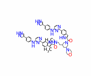 CCN(CCC1CC(N2CCOCC2)CN(C(=O)c2cc3ccc(-c4nccc(Nc5ccc(-c6cn[nH]c6)cc5)n4)cc3[nH]2)C1)C(=O)c1[nH]c2cc(-c3nccc(Nc4ccc(-c5cn[nH]c5)cc4)n3)ccc2c1C